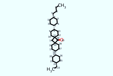 CCCC[C@H]1CC[C@H](C2CCC3(CC2)CC2(CCC([C@H]4CC[C@H](CC)CC4)CC2)C3=O)CC1